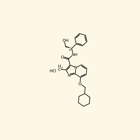 Cc1nc2c(OCC3CCCCC3)cccn2c1C(=O)N[C@@H](CO)c1ccccc1.Cl